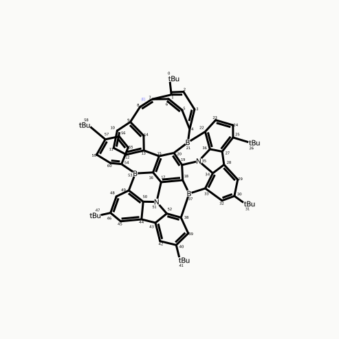 CC(C)(C)C1=CC=C2C=C/C1=C\c1cccc(c1)-c1c3c4c5c6c1B2c1ccc(C(C)(C)C)c2c7cc(C(C)(C)C)cc(c7n-6c12)B5c1cc(C(C)(C)C)cc2c5cc(C(C)(C)C)cc(c5n-4c12)B3c1ccc(C(C)(C)C)cc1